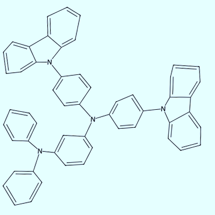 c1ccc(N(c2ccccc2)c2cccc(N(c3ccc(-n4c5ccccc5c5ccccc54)cc3)c3ccc(-n4c5ccccc5c5ccccc54)cc3)c2)cc1